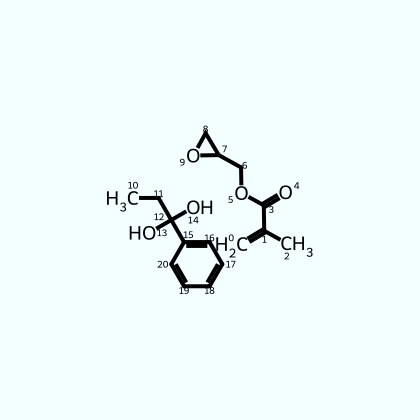 C=C(C)C(=O)OCC1CO1.CCC(O)(O)c1ccccc1